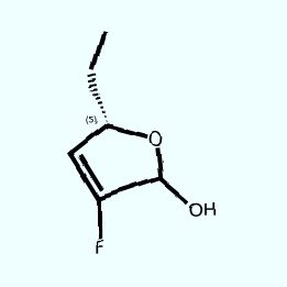 CC[C@H]1C=C(F)C(O)O1